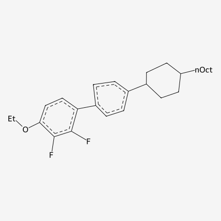 CCCCCCCCC1CCC(c2ccc(-c3ccc(OCC)c(F)c3F)cc2)CC1